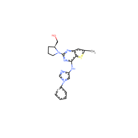 Cc1cc2nc(N3CCC[C@H]3CO)nc(Nc3cn(-c4ccccc4)cn3)c2s1